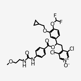 COCCNC(=O)Nc1ccc(C(=O)OC(Cc2c(Cl)c[n+]([O-])cc2Cl)c2ccc(OC(F)F)c(OCC3CC3)c2)cc1